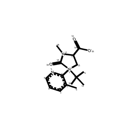 Cc1cccnc1[N+]1(C(C)(C)C)CC(C(=O)[O-])N(C)C1=O